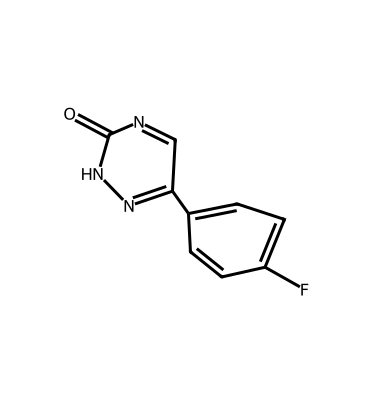 O=c1ncc(-c2ccc(F)cc2)n[nH]1